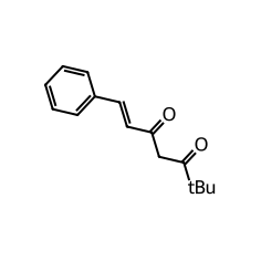 CC(C)(C)C(=O)CC(=O)C=Cc1ccccc1